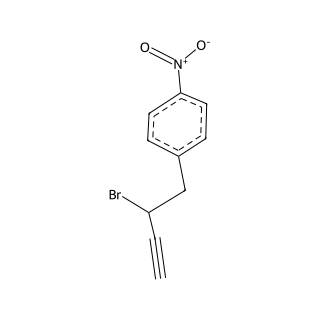 C#CC(Br)Cc1ccc([N+](=O)[O-])cc1